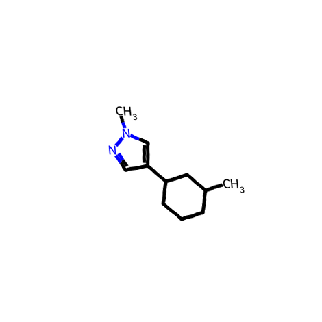 CC1CCCC(c2cnn(C)c2)C1